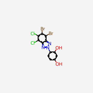 Oc1ccc(-n2nc3c(Cl)c(Cl)c(Br)c(Br)c3n2)c(O)c1